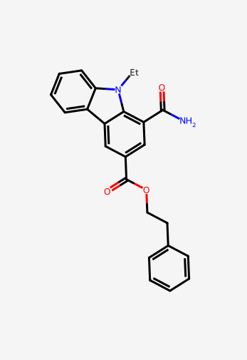 CCn1c2ccccc2c2cc(C(=O)OCCc3ccccc3)cc(C(N)=O)c21